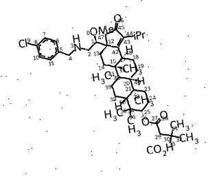 CO[C@H](CNCc1ccc(Cl)cc1)[C@@]12CC[C@]3(C)[C@H](CC[C@@H]4[C@@]5(C)CC[C@H](OC(=O)CC(C)(C)C(=O)O)C(C)(C)[C@@H]5CC[C@]43C)C1=C(C(C)C)C(=O)C2